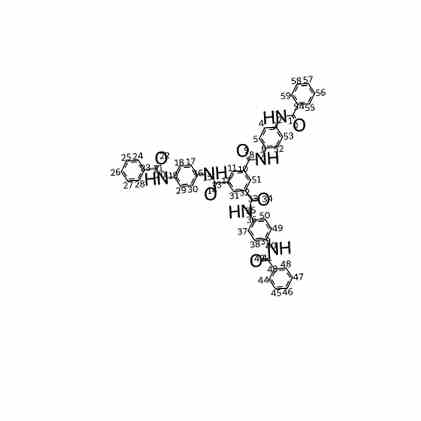 O=C(Nc1ccc(NC(=O)c2cc(C(=O)Nc3ccc(NC(=O)c4ccccc4)cc3)cc(C(=O)Nc3ccc(NC(=O)c4ccccc4)cc3)c2)cc1)c1ccccc1